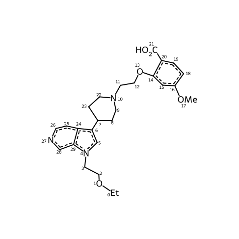 CCOCCn1cc(C2CCN(CCOc3cc(OC)ccc3C(=O)O)CC2)c2ccncc21